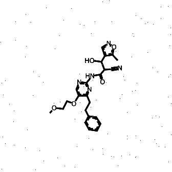 COCCOc1cnc(NC(=O)C(C#N)C(O)c2cnoc2C)nc1CCc1ccccc1